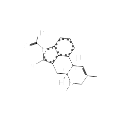 CC1=C[C@@H]2c3cccc4c3c(c(Br)n4C(=O)C(C)(C)C)C[C@H]2N(C)C1